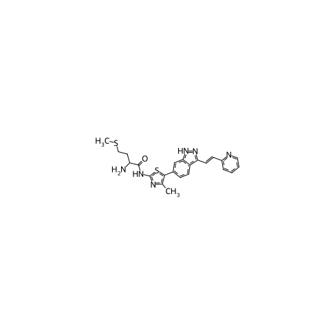 CSCCC(N)C(=O)Nc1nc(C)c(-c2ccc3c(/C=C/c4ccccn4)n[nH]c3c2)s1